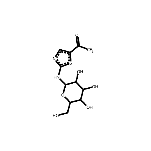 O=C(c1cnc(NC2OC(CO)C(O)C(O)C2O)s1)C(F)(F)F